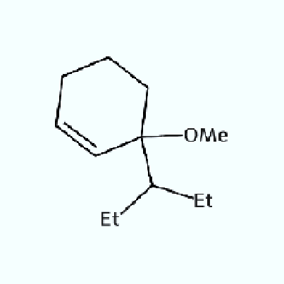 CCC(CC)C1(OC)C=CCCC1